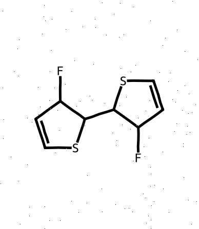 FC1C=CSC1C1SC=CC1F